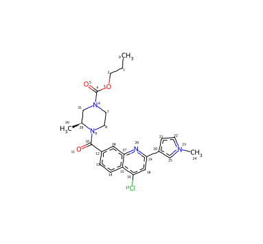 CCCOC(=O)N1CCN(C(=O)c2ccc3c(Cl)cc(-c4ccn(C)c4)nc3c2)[C@@H](C)C1